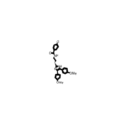 COc1ccc(-c2nc(SCCNC(=O)c3ccc(Cl)cc3)[nH]c2-c2ccc(OC)cc2)cc1